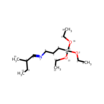 CCO[Si](CCCN=CC(C)CC)(OCC)OCC